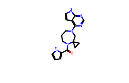 O=C(c1ccc[nH]1)N1CCCN(c2ncnc3[nH]ccc23)CC12CC2